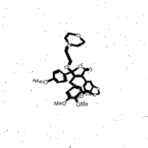 COc1ccc(C2(OCCN3CCOCC3)OC(=O)C(c3cc(OC)c4c(c3)OCO4)=C2Cc2cc(OC)c(OC)c(OC)c2)cc1